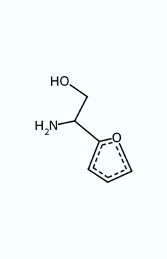 NC(CO)c1ccco1